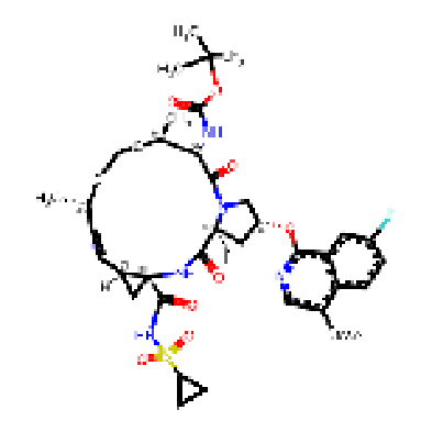 COc1cnc(O[C@@H]2C[C@H]3C(=O)N[C@]4(C(=O)NS(=O)(=O)C5CC5)C[C@H]4/C=C\[C@H](C)CCC[C@@H](C)[C@H](NC(=O)OC(C)(C)C(F)(F)F)C(=O)N3C2)c2cc(F)ccc12